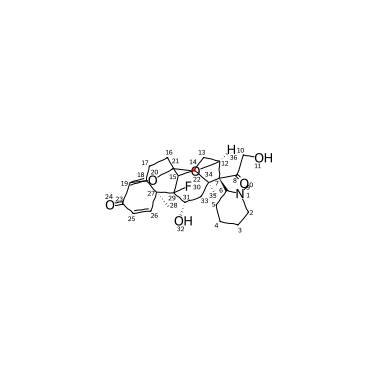 CN1CCCCC1[C@]1(C(=O)CO)[C@@H]2CC3C4CCC5=C(OCO2)C(=O)C=C[C@]5(C)C4(F)[C@@H](O)C[C@@]31C